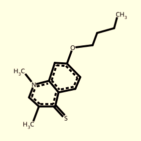 CCCCOc1ccc2c(=S)c(C)cn(C)c2c1